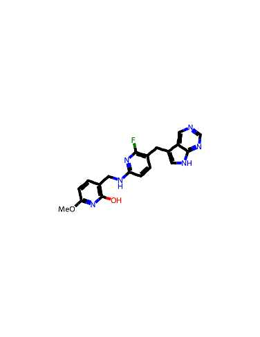 COc1ccc(CNc2ccc(Cc3c[nH]c4ncncc34)c(F)n2)c(O)n1